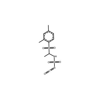 Cc1ccc(S(=O)(=O)C(C)NS(=O)(=O)N=C=O)c(C)c1